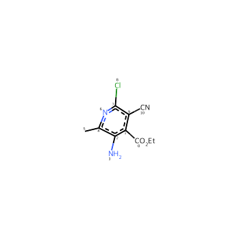 CCOC(=O)c1c(N)c(C)nc(Cl)c1C#N